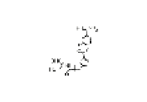 CC(C)(Cc1ccc(C(=O)Oc2ccc(C(=N)N)cc2F)s1)C(=O)N[C@H](C=O)CO